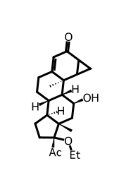 CCO[C@]1(C(C)=O)CC[C@H]2[C@@H]3CCC4=CC(=O)C5CC5[C@@]4(C)[C@@H]3[C@@H](O)C[C@@]21C